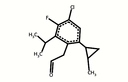 CC(C)c1c(F)c(Cl)cc(C2CC2C)c1CC=O